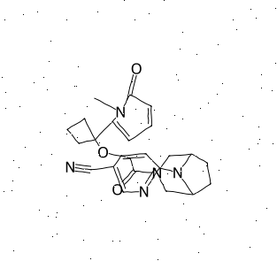 Cn1c(C2(OCC(=O)N3CC4CCC(C3)N4c3ccc(C#N)cn3)CCC2)cccc1=O